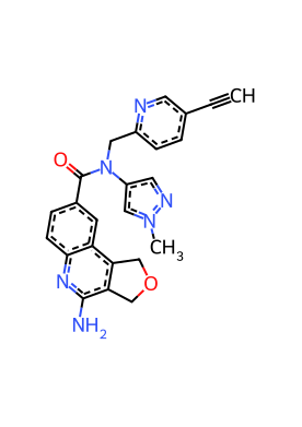 C#Cc1ccc(CN(C(=O)c2ccc3nc(N)c4c(c3c2)COC4)c2cnn(C)c2)nc1